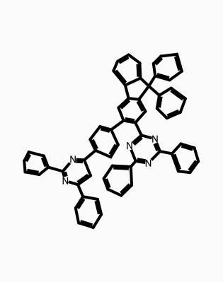 c1ccc(-c2cc(-c3ccc(-c4cc5c(cc4-c4nc(-c6ccccc6)nc(-c6ccccc6)n4)C(c4ccccc4)(c4ccccc4)c4ccccc4-5)cc3)nc(-c3ccccc3)n2)cc1